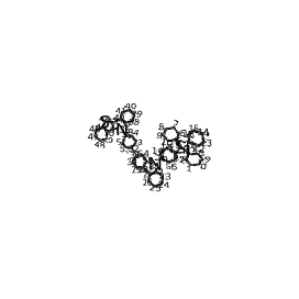 c1ccc([Si](c2ccccc2)(c2ccccc2)c2ccc(-n3c4ccccc4c4ccc(-c5ccc(-n6c7ccccc7c7sc8ccccc8c76)cc5)cc43)cc2)cc1